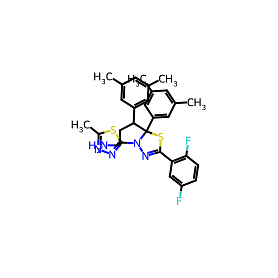 Cc1cc(C)cc(C(CCN)C2(c3cc(C)cc(C)c3)SC(c3cc(F)ccc3F)=NN2c2nnc(C)s2)c1